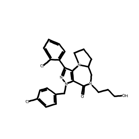 O=C1c2c(c(-c3ccccc3Cl)nn2Cc2ccc(Cl)cc2)N2CCCC2CN1CCCO